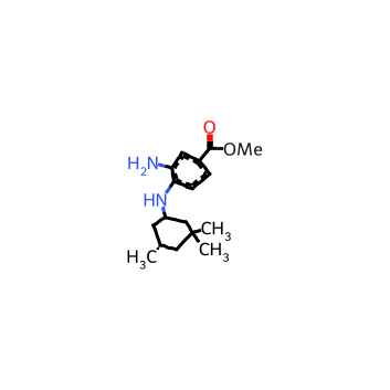 COC(=O)c1ccc(NC2C[C@@H](C)CC(C)(C)C2)c(N)c1